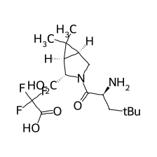 CC(C)(C)C[C@H](N)C(=O)N1C[C@H]2[C@@H]([C@H]1C(=O)O)C2(C)C.O=C(O)C(F)(F)F